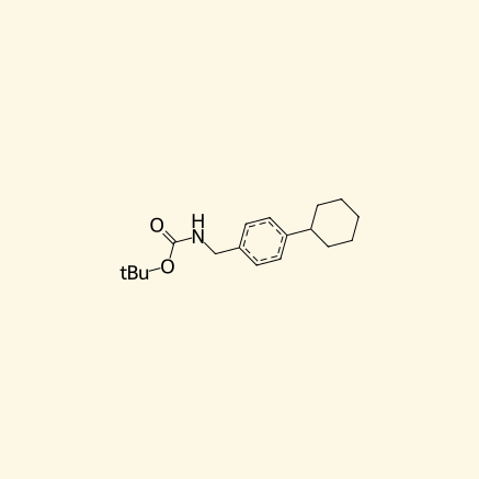 CC(C)(C)OC(=O)NCc1ccc(C2CCCCC2)cc1